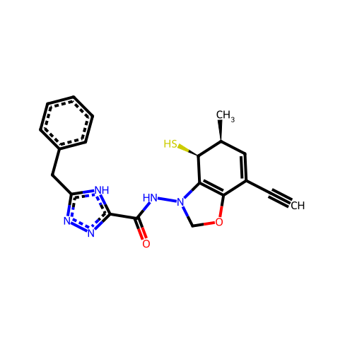 C#CC1=C[C@H](C)[C@H](S)C2=C1OCN2NC(=O)c1nnc(Cc2ccccc2)[nH]1